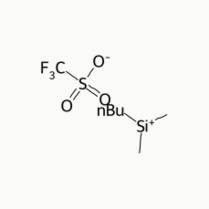 CCCC[Si+](C)C.O=S(=O)([O-])C(F)(F)F